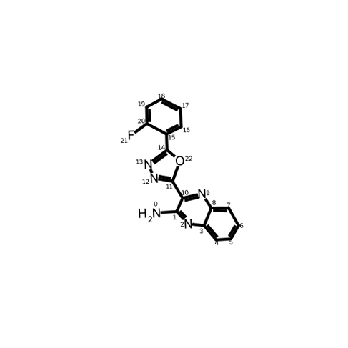 Nc1nc2ccccc2nc1-c1nnc(-c2ccccc2F)o1